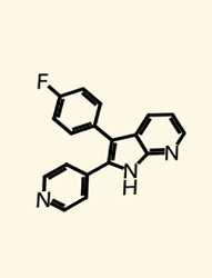 Fc1ccc(-c2c(-c3ccncc3)[nH]c3ncccc23)cc1